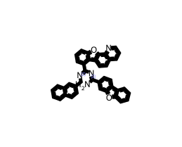 N/C(=N\C(=N/Cc1ccc2ccccc2c1)c1cccc2oc3c(ccc4cccnc43)c12)c1ccc2c(c1)oc1ccccc12